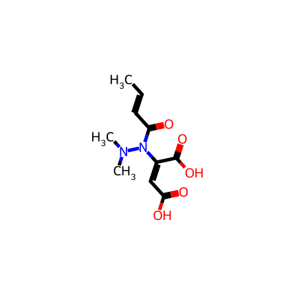 C/C=C/C(=O)N(/C(=C/C(=O)O)C(=O)O)N(C)C